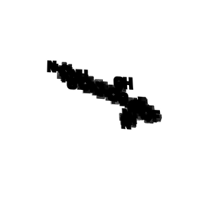 N#Cc1ccc(NC(=O)c2ccc(N3CCN(c4ccc(OC[C@@H]5CO[C@@](Cn6cncn6)(c6ccc(F)cc6F)C5)c(CO)c4)CC3)cc2)nc1